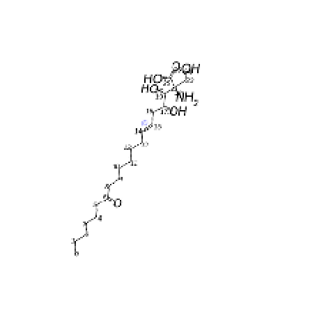 CCCCCCC(=O)CCCCCC/C=C/CC(O)C(O)C(N)(CO)C(=O)O